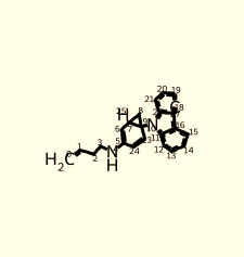 C=CCCNC1=C[C@H]2CC2(n2c3ccccc3c3ccccc32)C=C1